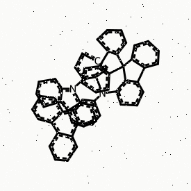 c1ccc2c(c1)-c1ccccc1C21c2ccccc2-c2cccc(N(c3ccc4c5ccccc5c5ccccc5c4c3)c3ccccc3-n3c4ccccc4c4ccccc43)c21